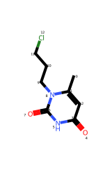 Cc1cc(=O)[nH]c(=O)n1CCCCl